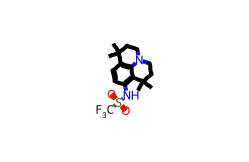 CC1(C)CCN2CCC(C)(C)c3c(NS(=O)(=O)C(F)(F)F)ccc1c32